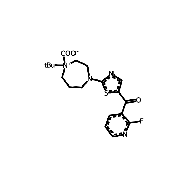 CC(C)(C)[N+]1(C(=O)[O-])CCCN(c2ncc(C(=O)c3cccnc3F)s2)CC1